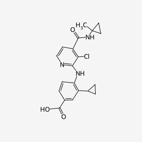 CC1(NC(=O)c2ccnc(Nc3ccc(C(=O)O)cc3C3CC3)c2Cl)CC1